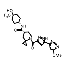 COc1cc(-c2cc(C(=O)N3CC[C@@H](C(=O)N[C@H]4CC[C@@](O)(C(F)(F)F)CC4)CC34CC4)n[nH]2)ncn1